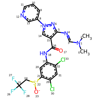 CN(C)C=Nc1nn(-c2cccnc2)cc1C(=O)Nc1cc([S+]([O-])CC(F)(F)F)c(Cl)cc1Cl